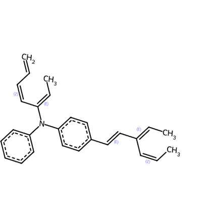 C=C/C=C\C(=C/C)N(c1ccccc1)c1ccc(/C=C/C(/C=C\C)=C/C)cc1